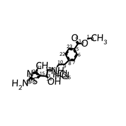 CCOC(=O)c1ccc(CCNCC(O)c2sc(N)nc2C)cc1.Cl.Cl